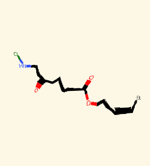 CC/C=C\COC(=O)CCC(=O)CNCl